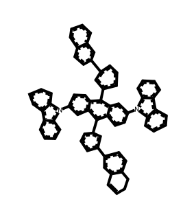 C1=Cc2cc(-c3cccc(-c4c5ccc(-n6c7ccccc7c7ccccc76)cc5c(-c5cccc(-c6ccc7ccccc7c6)c5)c5ccc(-n6c7ccccc7c7ccccc76)cc45)c3)ccc2CC1